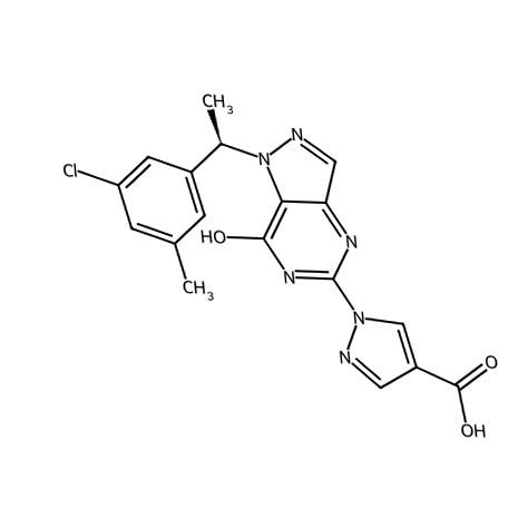 Cc1cc(Cl)cc([C@@H](C)n2ncc3nc(-n4cc(C(=O)O)cn4)nc(O)c32)c1